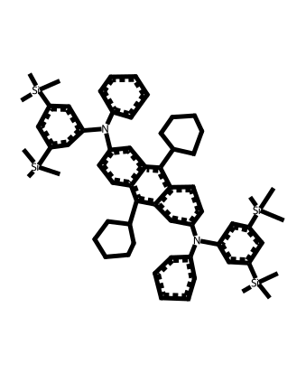 C[Si](C)(C)c1cc(N(c2ccccc2)c2ccc3c(C4CCCCC4)c4cc(N(c5ccccc5)c5cc([Si](C)(C)C)cc([Si](C)(C)C)c5)ccc4c(C4CCCCC4)c3c2)cc([Si](C)(C)C)c1